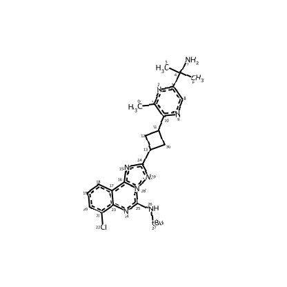 Cc1nc(C(C)(C)N)cnc1C1CC(c2nc3c4cccc(Cl)c4nc(NC(C)(C)C)n3n2)C1